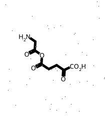 NCC(=O)OC(=O)CCC(=O)C(=O)O